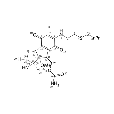 CCCSSCCNC1=C(C)C(=O)C2=C(C1=O)[C@@H](COC(N)=O)[C@@]1(OC)[C@H]3N[C@H]3CN21